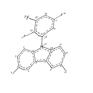 Cc1ccc2c(c1)c1cc(C)ccc1n2-c1cc(F)cc(F)c1F